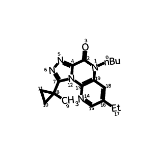 CCCCn1c(=O)c2nnc(C3(C)CC3)n2c2ncc(CC)cc21